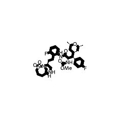 COC(=O)N[C@H](C(=O)Nc1cccc(F)c1CC[C@H]1CN[C@@H]2CCCS(=O)(=O)N1C2)[C@@H](c1ccc(F)cc1)[C@H]1C[C@@H](C)O[C@@H](C)C1